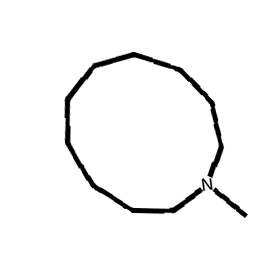 CN1CCCCCCCCCC1